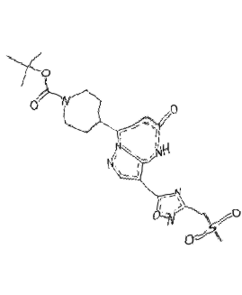 CC(C)(C)OC(=O)N1CCC(c2cc(=O)[nH]c3c(-c4nc(CS(C)(=O)=O)no4)cnn23)CC1